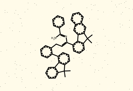 CC1(C)c2cc3ccccc3cc2-c2c(C(=C/Cc3ccccc3-c3cccc4c3-c3ccccc3C4(C)C)/N=C(\N)c3ccccc3)cccc21